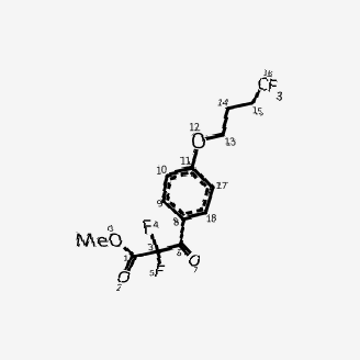 COC(=O)C(F)(F)C(=O)c1ccc(OCCCC(F)(F)F)cc1